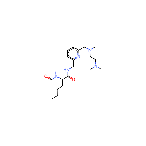 CCCCC(NC=O)C(=O)NCc1cccc(CN(C)CCN(C)C)n1